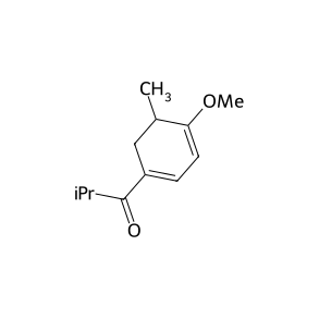 COC1=CC=C(C(=O)C(C)C)CC1C